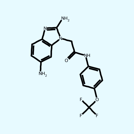 Nc1ccc2nc(N)n(CC(=O)Nc3ccc(OC(F)(F)F)cc3)c2c1